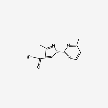 Cc1ccnc(-n2cc(C(=O)C(C)C)c(C)n2)n1